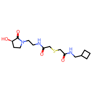 O=C(CSCC(=O)NCC1CCC1)NCCN1CC[C@@H](O)C1=O